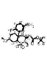 COC1CCC2(c3cc(N)ccc3F)N/C(=N/C(=O)OC(C)(C)C)N(C)S(=O)(=O)C2C1